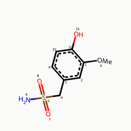 COc1cc(CS(N)(=O)=O)ccc1O